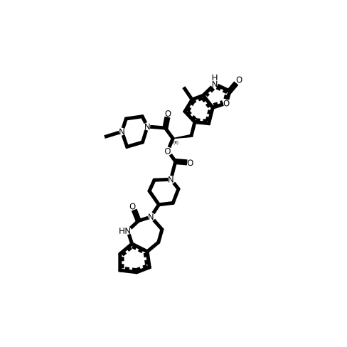 Cc1cc(C[C@@H](OC(=O)N2CCC(N3CCc4ccccc4NC3=O)CC2)C(=O)N2CCN(C)CC2)cc2oc(=O)[nH]c12